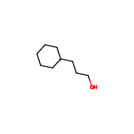 OCCC[C]1CCCCC1